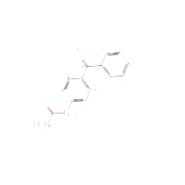 NC(=O)Nc1ccc(C(=O)c2ccccc2)cc1